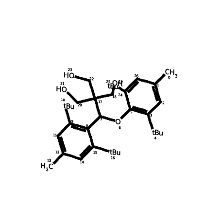 Cc1cc(C(C)(C)C)c(OC(c2c(C(C)(C)C)cc(C)cc2C(C)(C)C)C(CO)(CO)CO)c(C(C)(C)C)c1